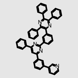 c1ccc(-c2cc(-c3cccc(-c4cccnc4)c3)nc(-c3cccc(-c4nc(-c5ccccc5)c(-c5ccccc5)nc4-c4ccccc4)c3)n2)cc1